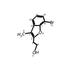 Cc1c(CCO)oc2c(Br)cccc12